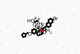 NC1CC2CCC(C1)N2C(=O)[C@H](NS(=O)(=O)c1ccc(OCC2CCCC2)cc1)C(F)(F)c1ccc2cc(Br)ccc2c1.O=C(O)C(F)(F)F